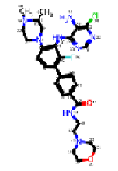 C[C@H]1CN(c2ccc(-c3ccc(C(=O)NCCN4CCOCC4)cc3)c(F)c2Nc2ncnc(Cl)c2N)CCN1C